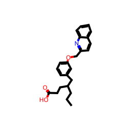 CCCC(CCC(=O)O)Cc1cccc(OCc2ccc3ccccc3n2)c1